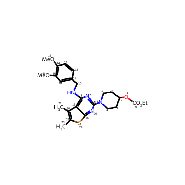 CCOC(=O)OC1CCN(c2nc(NCc3ccc(OC)c(OC)c3)c3c(C)c(C)sc3n2)CC1